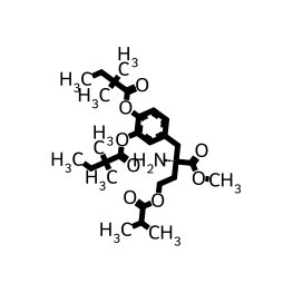 CCC(C)(C)C(=O)Oc1ccc(C[C@](N)(CCOC(=O)C(C)C)C(=O)OC)cc1OC(=O)C(C)(C)CC